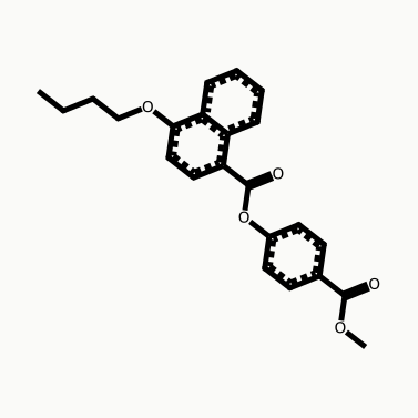 CCCCOc1ccc(C(=O)Oc2ccc(C(=O)OC)cc2)c2ccccc12